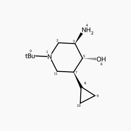 CC(C)(C)N1C[C@@H](N)[C@H](O)[C@@H](C2CC2)C1